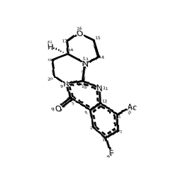 CC(=O)c1cc(F)cc2c(=O)n3c(nc12)N1CCOC[C@@H]1CC3